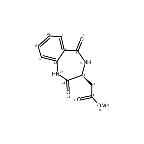 COC(=O)C[C@@H]1NC(=O)c2ccccc2NC1=O